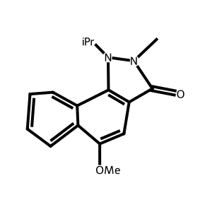 COc1cc2c(=O)n(C)n(C(C)C)c2c2ccccc12